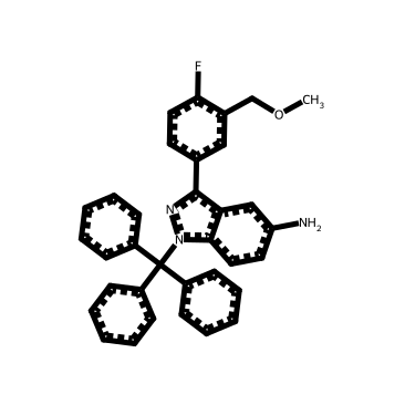 COCc1cc(-c2nn(C(c3ccccc3)(c3ccccc3)c3ccccc3)c3ccc(N)cc23)ccc1F